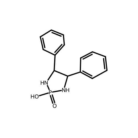 O=P1(O)NC(c2ccccc2)C(c2ccccc2)N1